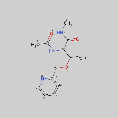 CNC(=O)C(NC(C)=O)C(C)OCc1ccccn1